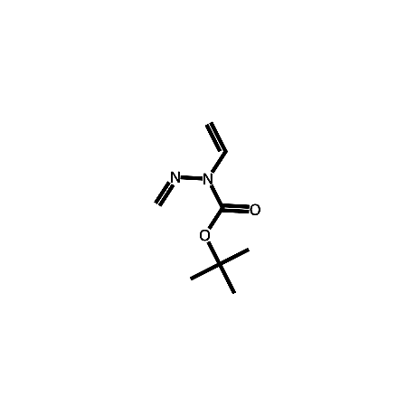 C=CN(N=C)C(=O)OC(C)(C)C